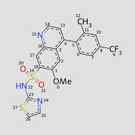 COc1cc2c(-c3ccc(C(F)(F)F)cc3C)ccnc2cc1S(=O)(=O)Nc1nccs1